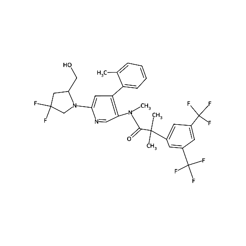 Cc1ccccc1-c1cc(N2CC(F)(F)CC2CO)ncc1N(C)C(=O)C(C)(C)c1cc(C(F)(F)F)cc(C(F)(F)F)c1